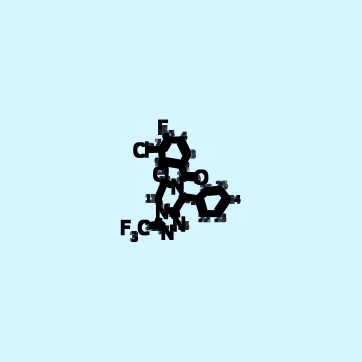 O=C(c1ccc(F)c(Cl)c1Cl)N1CCn2c(nnc2C(F)(F)F)C1c1ccccc1